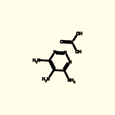 Nc1nnnc(N)c1N.O=S(O)O